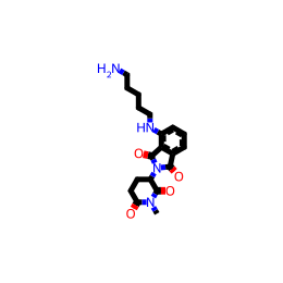 CN1C(=O)CCC(N2C(=O)c3cccc(NCCCCCN)c3C2=O)C1=O